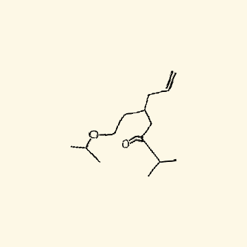 C=CCC(CCOC(C)C)CC(=O)C(C)C